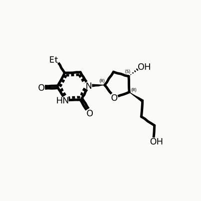 CCc1cn([C@H]2C[C@H](O)[C@@H](CCCO)O2)c(=O)[nH]c1=O